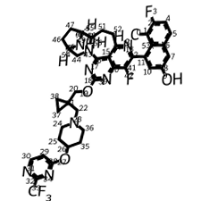 Cc1c(F)ccc2cc(O)cc(-c3nc4c5c(nc(OCC6(CN7CCC(Oc8ccnc(C(F)(F)F)n8)CC7)CC6)nc5c3F)N3C[C@H]5CC[C@H](N5)[C@H]3CC4)c12